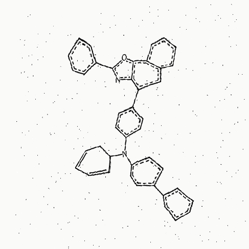 C1=CCC(N(c2ccc(-c3ccccc3)cc2)c2ccc(-c3cc4ccccc4c4oc(-c5ccccc5)nc34)cc2)C=C1